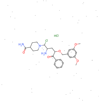 COc1cc(COC(CC(N)C(Cl)N2CCC(C(N)=O)CC2)C(=O)c2ccccc2)cc(OC)c1.Cl